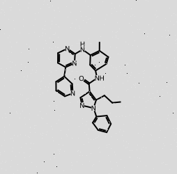 CCCc1c(C(=O)Nc2ccc(C)c(Nc3nccc(-c4cccnc4)n3)c2)cnn1-c1ccccc1